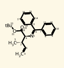 C=C[C@H](C)[C@H](N=C(c1ccccc1)c1ccccc1)C(=O)OC(C)(C)C